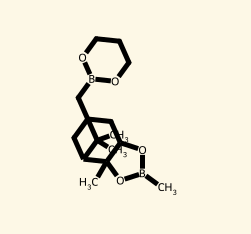 CB1OC2CC3(CB4OCCCO4)CC(C2(C)O1)C3(C)C